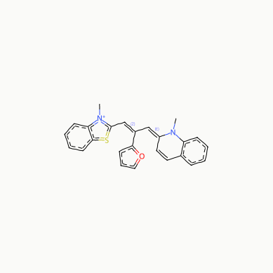 CN1/C(=C/C(=C/c2sc3ccccc3[n+]2C)c2ccco2)C=Cc2ccccc21